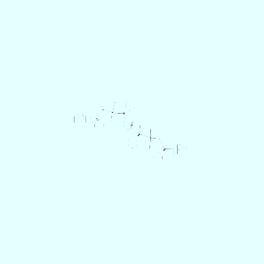 CC(C)C(=O)CC(C)(C)C(=O)OOC(=O)C(C)(C)CC(=O)C(C)C